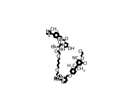 Cc1ncsc1-c1ccc(CNC(=O)[C@@H]2C[C@H](O)CN2C(=O)[C@@H](NC(=O)COCCCCCOCCS(=O)(=O)Nc2nccc(COc3ccc(C(C)(C)c4cc(Cl)c(OCCCl)c(C#N)c4)cc3)n2)C(C)(C)C)cc1